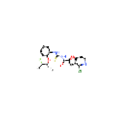 CCC(F)C(C)Oc1ccccc1NC(=S)NC(=O)c1cc2c(Cl)nccc2o1